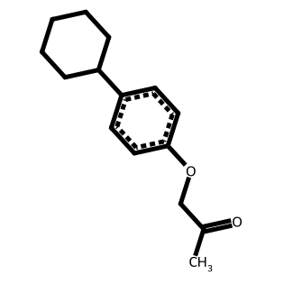 CC(=O)COc1ccc(C2CCCCC2)cc1